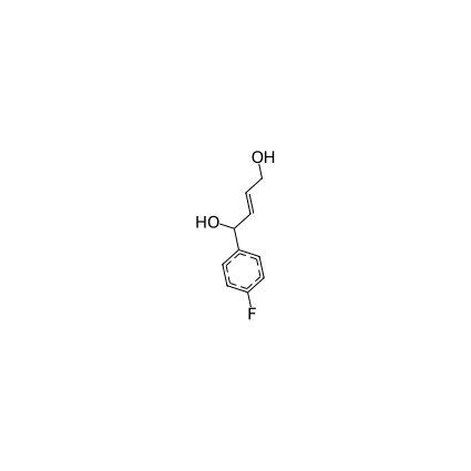 OCC=CC(O)c1ccc(F)cc1